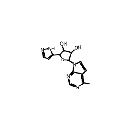 Cc1ncnc2c1ccn2C1OC(c2ccn[nH]2)C(O)C1O